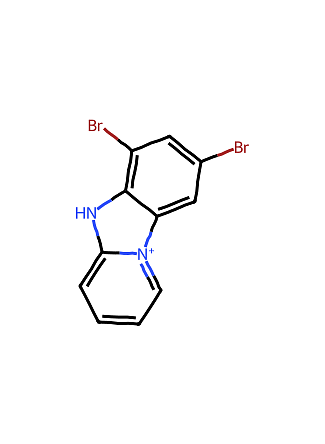 Brc1cc(Br)c2[nH]c3cccc[n+]3c2c1